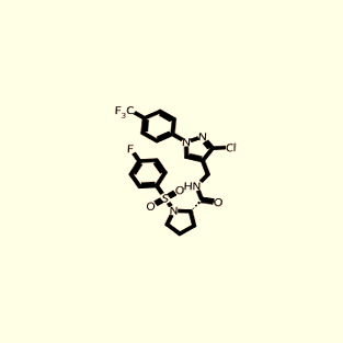 O=C(NCc1cn(-c2ccc(C(F)(F)F)cc2)nc1Cl)[C@@H]1CCCN1S(=O)(=O)c1ccc(F)cc1